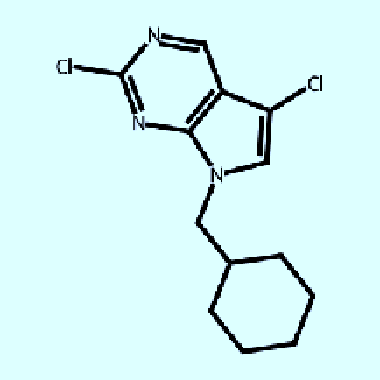 Clc1ncc2c(Cl)cn(CC3CCCCC3)c2n1